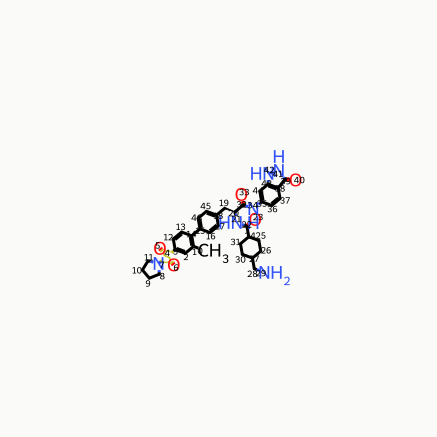 Cc1cc(S(=O)(=O)N2CCCC2)ccc1-c1ccc(C[C@H](NC(=O)C2CCC(CN)CC2)C(=O)Nc2ccc3c(=O)[nH][nH]c3c2)cc1